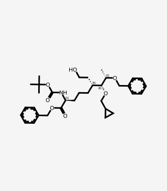 C[C@H](OCc1ccccc1)[C@H](OCC1CC1)[C@@H](CCO)CCC[C@H](NC(=O)OC(C)(C)C)C(=O)OCc1ccccc1